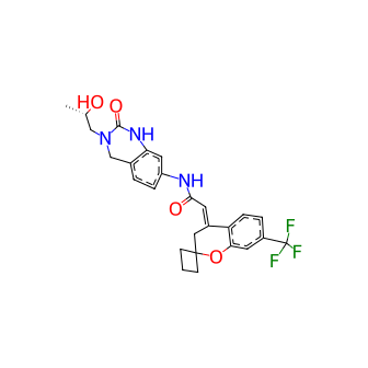 C[C@H](O)CN1Cc2ccc(NC(=O)/C=C3\CC4(CCC4)Oc4cc(C(F)(F)F)ccc43)cc2NC1=O